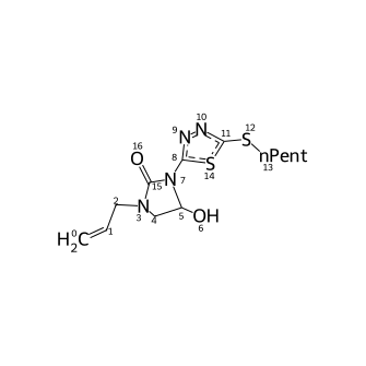 C=CCN1CC(O)N(c2nnc(SCCCCC)s2)C1=O